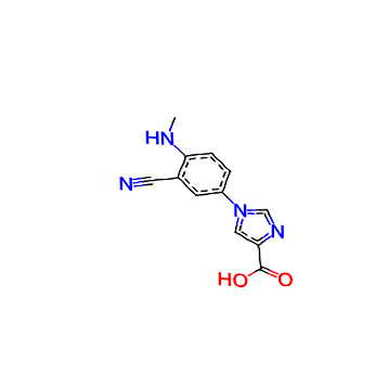 CNc1ccc(-n2cnc(C(=O)O)c2)cc1C#N